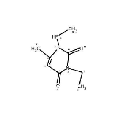 CCn1c(=O)cc(C)n(PC)c1=O